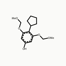 COCOc1cc(O)cc(OCOC)c1C1CCCC1